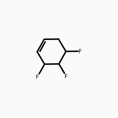 FC1C=CCC(F)C1F